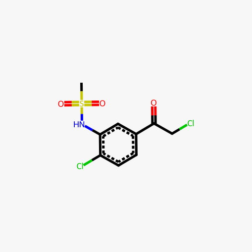 CS(=O)(=O)Nc1cc(C(=O)CCl)ccc1Cl